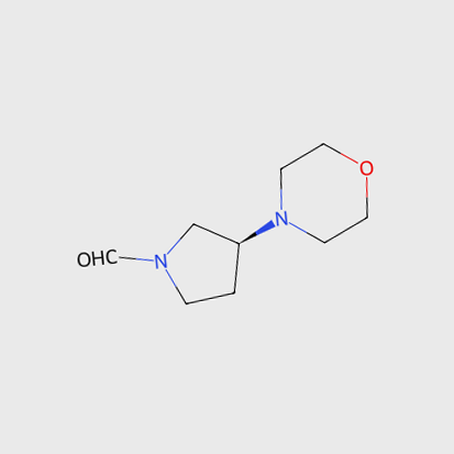 O=CN1CC[C@H](N2CCOCC2)C1